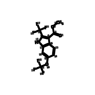 COC(=O)c1c(C(F)(F)F)[nH]c2cc(OC(F)(F)F)ccc12